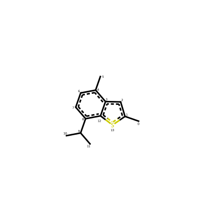 Cc1cc2c(C)ccc(C(C)C)c2s1